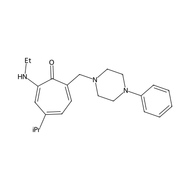 CCNc1cc(C(C)C)ccc(CN2CCN(c3ccccc3)CC2)c1=O